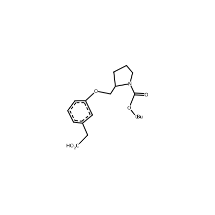 CC(C)(C)OC(=O)N1CCCC1COc1cccc(CC(=O)O)c1